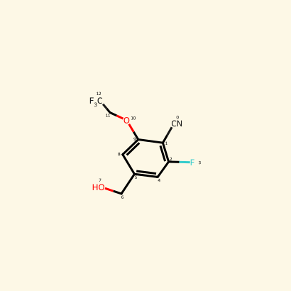 N#Cc1c(F)cc(CO)cc1OCC(F)(F)F